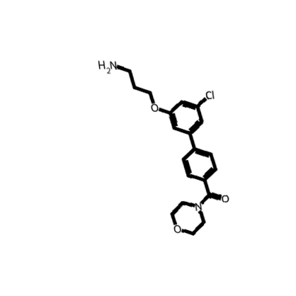 NCCCOc1cc(Cl)cc(-c2ccc(C(=O)N3CCOCC3)cc2)c1